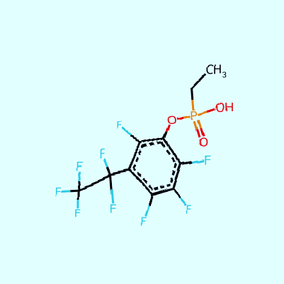 CCP(=O)(O)Oc1c(F)c(F)c(F)c(C(F)(F)C(F)(F)F)c1F